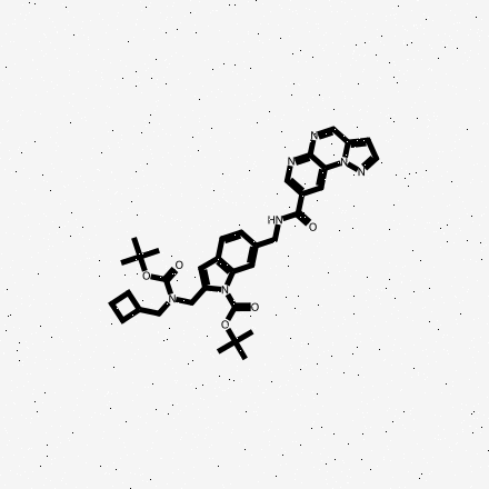 CC(C)(C)OC(=O)N(Cc1cc2ccc(CNC(=O)c3cnc4ncc5ccnn5c4c3)cc2n1C(=O)OC(C)(C)C)CC1CCC1